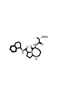 CN[C@@H](C)C(=O)N[C@H]1CCCNC2CCC(C(=O)NC3CCCc4ccccc43)N2C1=O